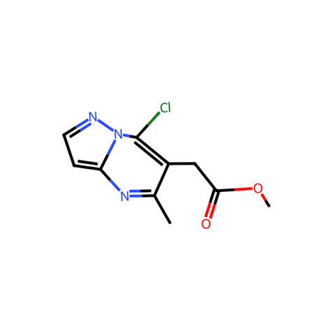 COC(=O)Cc1c(C)nc2ccnn2c1Cl